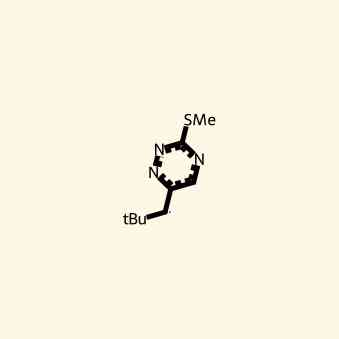 CSc1ncc([CH]C(C)(C)C)nn1